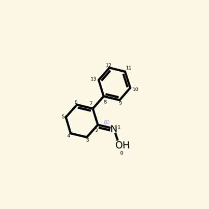 O/N=C1\CCCC=C1c1ccccc1